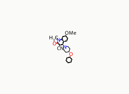 COc1ccc2c(N3CCC(Oc4ccccc4)CC3)c(C#N)c(=O)n(C)c2c1